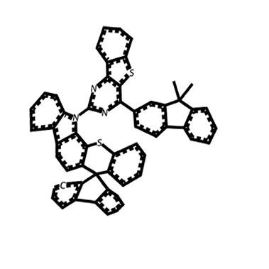 CC1(C)c2ccccc2-c2ccc(-c3nc(-n4c5ccccc5c5ccc6c(c54)Sc4ccccc4C64c5ccccc5-c5ccccc54)nc4c3sc3ccccc34)cc21